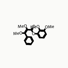 COC(C(=O)Oc1cccc(OC)c1OC)=C(OC)c1ccccc1